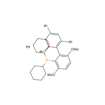 COc1ccc(OC)c(P(C2CCCCC2)C2CCCCC2)c1-c1c(C(C)C)cc(C(C)C)cc1C(C)C.[Pd]